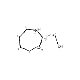 OC[C@H]1NCCCCO1